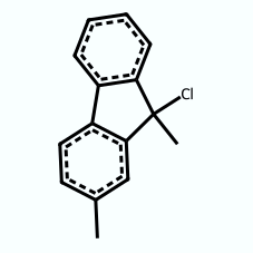 Cc1ccc2c(c1)C(C)(Cl)c1ccccc1-2